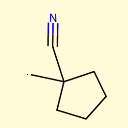 [CH2]C1(C#N)CCCC1